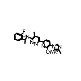 COc1nc(-c2cc(C)c(NC(C)c3ccccc3F)nn2)ccc1-n1cnc(C)c1